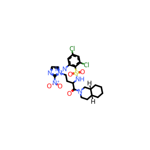 Nc1cc(Cl)cc(Cl)c1S(=O)(=O)NC(CCn1ccnc1[N+](=O)[O-])C(=O)N1CC[C@H]2CCCC[C@H]2C1